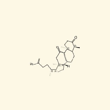 C=C(CC[C@@H](C)[C@H]1CC[C@H]2C3=C(C(=O)C[C@]12C)[C@@]1(C)CCC(=O)[C@@H](C)C1CC3)C(C)C